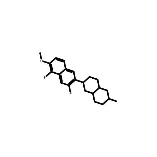 COc1ccc2cc(C3CCC4CC(C)CCC4C3)c(F)cc2c1F